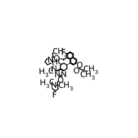 C#Cc1c(F)ccc2cc(OC(=O)C(C)C)cc([C@@H]3CCc4c(nc(OC[C@]5(C)C[C@@H](F)CN5C)nc4N(C)C[C@@H]4CCCN4C(=O)C=C)C3)c12